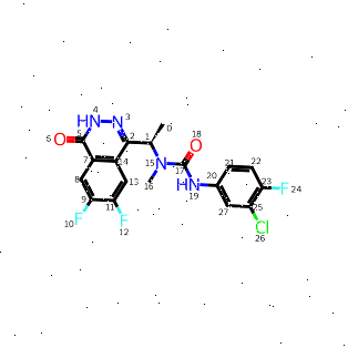 C[C@H](c1n[nH]c(=O)c2cc(F)c(F)cc12)N(C)C(=O)Nc1ccc(F)c(Cl)c1